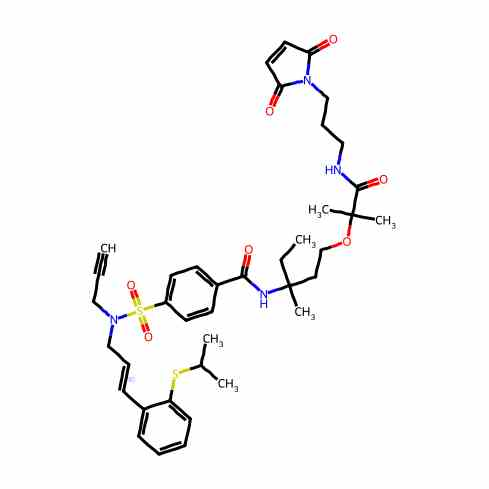 C#CCN(C/C=C/c1ccccc1SC(C)C)S(=O)(=O)c1ccc(C(=O)NC(C)(CC)CCOC(C)(C)C(=O)NCCCN2C(=O)C=CC2=O)cc1